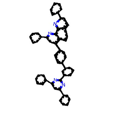 c1ccc(-c2cc(-c3ccccc3)nc(-c3cccc(-c4ccc(-c5cc(-c6ccccc6)nc6c5ccc5ccc(-c7ccccc7)nc56)cc4)c3)n2)cc1